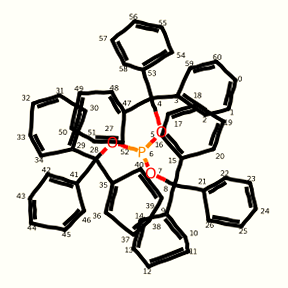 c1ccc(C(OP(OC(c2ccccc2)(c2ccccc2)c2ccccc2)OC(c2ccccc2)(c2ccccc2)c2ccccc2)(c2ccccc2)c2ccccc2)cc1